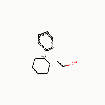 OCC[C@@H]1CCCC[C@@H]1c1ccccc1